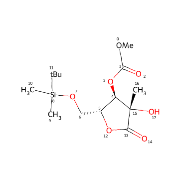 COC(=O)O[C@@H]1[C@@H](CO[Si](C)(C)C(C)(C)C)OC(=O)[C@@]1(C)O